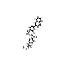 NS(=O)(=O)c1ccc(C(=O)N2CCOc3ccc(-c4cnc5ccccc5c4)cc3C2)cc1